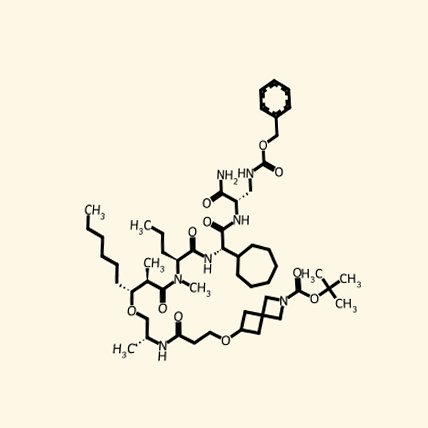 CCCCCC[C@@H](OC[C@@H](C)NC(=O)CCOC1CC2(C1)CN(C(=O)OC(C)(C)C)C2)[C@@H](C)C(=O)N(C)[C@@H](CCC)C(=O)N[C@H](C(=O)N[C@@H](CNC(=O)OCc1ccccc1)C(N)=O)C1CCCCCC1